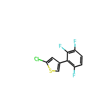 Fc1ccc(F)c(-c2csc(Cl)c2)c1F